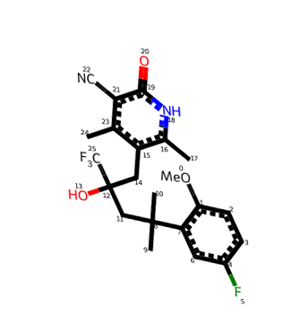 COc1ccc(F)cc1C(C)(C)CC(O)(Cc1c(C)[nH]c(=O)c(C#N)c1C)C(F)(F)F